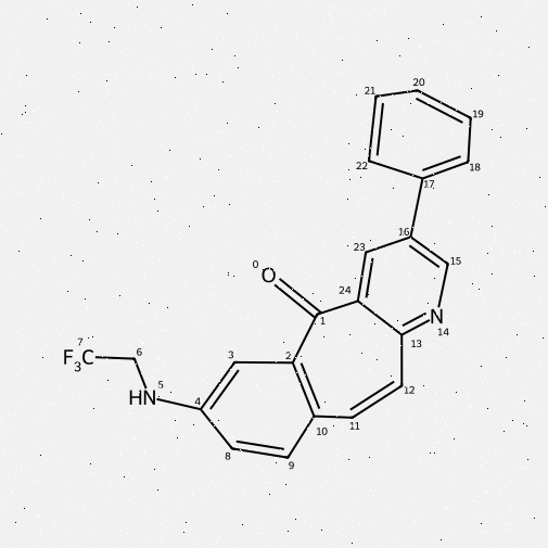 O=c1c2cc(NCC(F)(F)F)ccc2ccc2ncc(-c3ccccc3)cc12